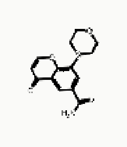 NC(=O)c1cc(N2CCOCC2)c2occc(=O)c2c1